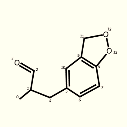 CC(C=O)Cc1ccc2c(c1)COO2